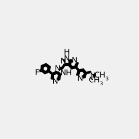 CN(C)Cc1cncc(-c2cnc3[nH]nc(-c4nc5c(-c6cccc(F)c6)cncc5[nH]4)c3c2)c1